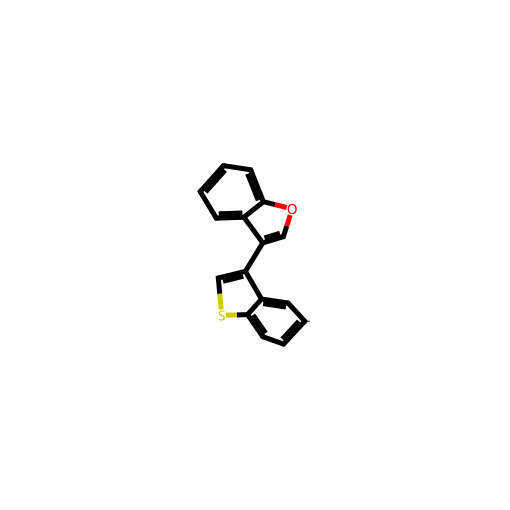 [c]1ccc2scc(-c3coc4ccccc34)c2c1